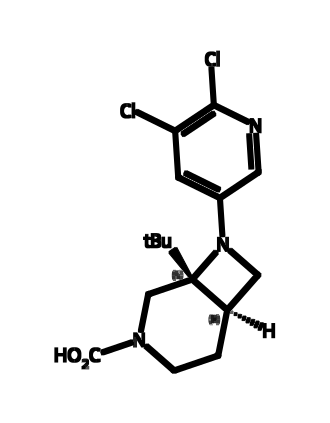 CC(C)(C)[C@]12CN(C(=O)O)CC[C@@H]1CN2c1cnc(Cl)c(Cl)c1